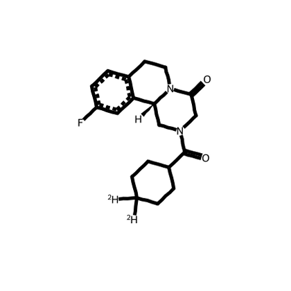 [2H]C1([2H])CCC(C(=O)N2CC(=O)N3CCc4ccc(F)cc4[C@H]3C2)CC1